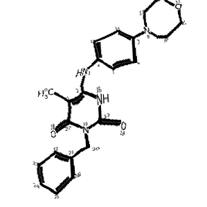 Cc1c(Nc2ccc(N3CCOCC3)cc2)[nH]c(=O)n(Cc2ccccc2)c1=O